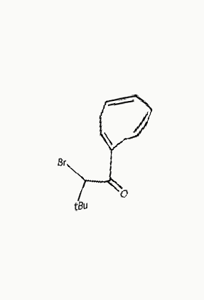 CC(C)(C)C(Br)C(=O)c1ccccc1